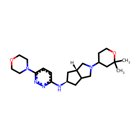 CC1(C)CC(N2CC3C[C@@H](Nc4ccc(N5CCOCC5)nn4)C[C@@H]3C2)CCO1